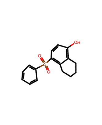 O=S(=O)(c1ccccc1)c1ccc(O)c2c1CCCC2